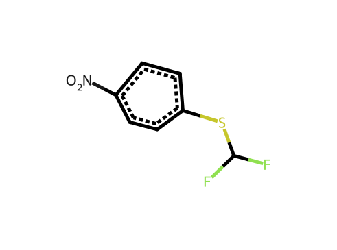 O=[N+]([O-])c1ccc(SC(F)F)cc1